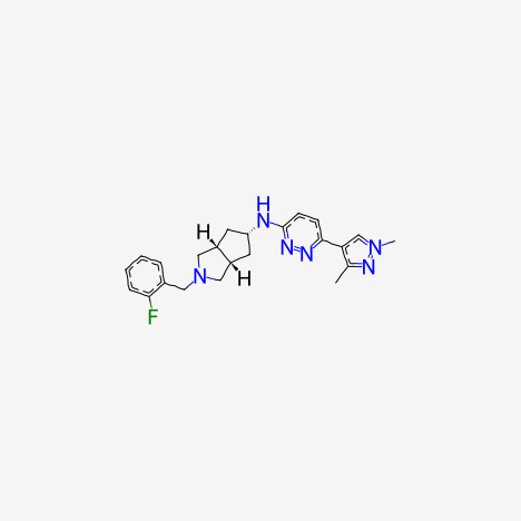 Cc1nn(C)cc1-c1ccc(N[C@@H]2C[C@@H]3CN(Cc4ccccc4F)C[C@@H]3C2)nn1